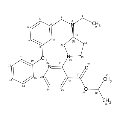 CCN(Cc1cccc(Oc2ccccc2)c1)[C@H]1CCN(c2ncccc2C(=O)OC(C)C)C1